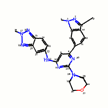 Cc1nn(C)c2cc(-c3cc(Nc4ccc5nn(C)nc5c4)nc(N4CCOCC4)n3)ccc12